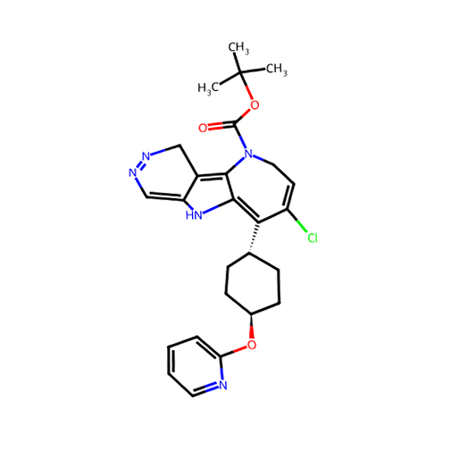 CC(C)(C)OC(=O)N1CC=C(Cl)C([C@H]2CC[C@H](Oc3ccccn3)CC2)=c2[nH]c3c(c21)CN=NC=3